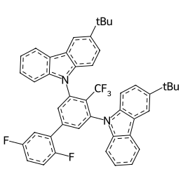 CC(C)(C)c1ccc2c(c1)c1ccccc1n2-c1cc(-c2cc(F)ccc2F)cc(-n2c3ccccc3c3cc(C(C)(C)C)ccc32)c1C(F)(F)F